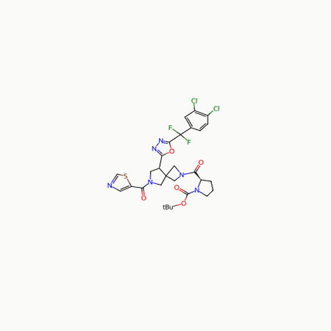 CC(C)(C)OC(=O)N1CCC[C@@H]1C(=O)N1CC2(CN(C(=O)c3cncs3)CC2c2nnc(C(F)(F)c3ccc(Cl)c(Cl)c3)o2)C1